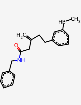 C=C(CCc1cccc(BC)c1)CC(=O)NCc1ccccc1